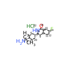 CC(C)(N)c1ccc(-c2cc3ccc(F)cc3c(=O)[nH]2)cc1.Cl